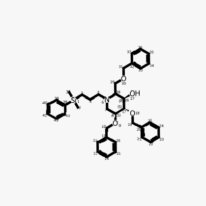 C[Si](C)(CCCN1C[C@H](OCc2ccccc2)[C@@H](OCc2ccccc2)[C@H](O)C1COCc1ccccc1)c1ccccc1